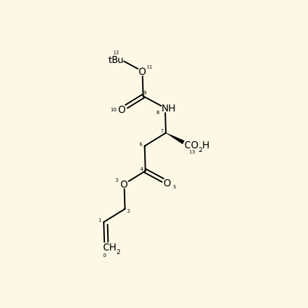 C=CCOC(=O)C[C@@H](NC(=O)OC(C)(C)C)C(=O)O